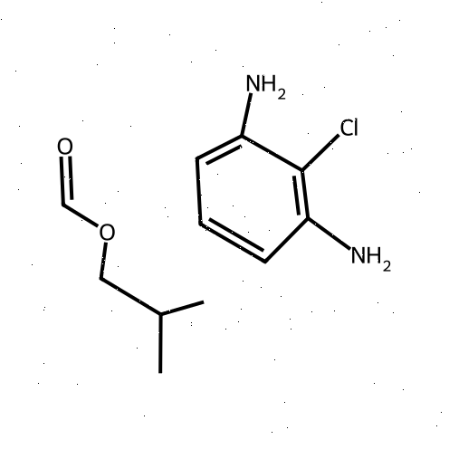 CC(C)COC=O.Nc1cccc(N)c1Cl